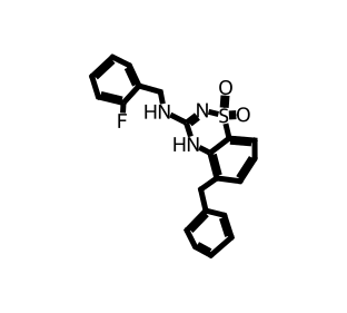 O=S1(=O)N=C(NCc2ccccc2F)Nc2c(Cc3ccccc3)cccc21